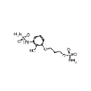 N#Cc1c(NS(N)(=O)=O)cccc1OCCCOS(N)(=O)=O